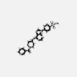 CS(=O)(=O)c1ccc(-n2cnc3c(OC4CCN(C(=O)c5cccnc5)CC4)ncnc32)cn1